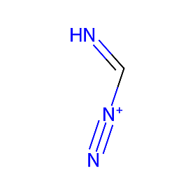 N#[N+]C=N